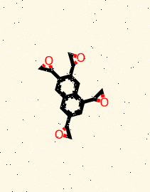 c1c(C2CO2)cc2cc(C3CO3)c(C3CO3)cc2c1C1CO1